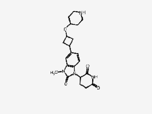 Cn1c(=O)n(C2CCC(=O)NC2=O)c2ccc(C3CC(OC4CCNCC4)C3)cc21